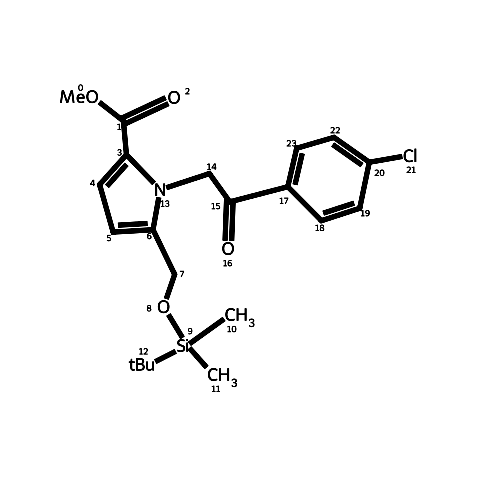 COC(=O)c1ccc(CO[Si](C)(C)C(C)(C)C)n1CC(=O)c1ccc(Cl)cc1